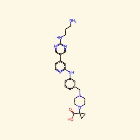 NCCCNc1ncc(-c2ccnc(Nc3cccc(CN4CCN(C5(C(=O)O)CC5)CC4)c3)c2)cn1